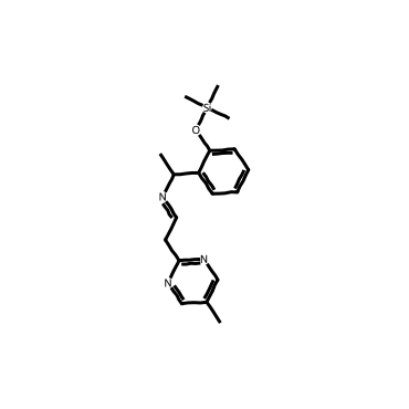 Cc1cnc(CC=NC(C)c2ccccc2O[Si](C)(C)C)nc1